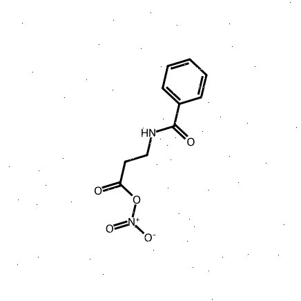 O=C(CCNC(=O)c1ccccc1)O[N+](=O)[O-]